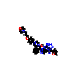 Nc1nc2c(cnn2C(C(=O)N2CCN(c3ccc(OCCCN4CCOCC4)cc3)CC2)c2ccccc2)c2nc(-c3ccco3)nn12